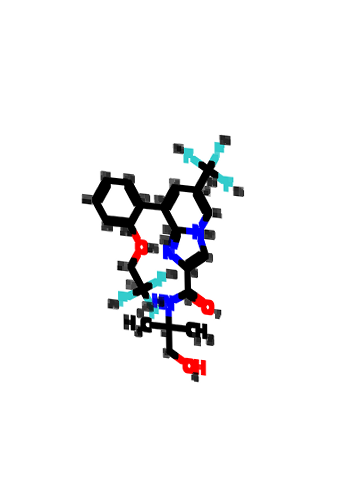 CC(C)(CO)NC(=O)c1cn2cc(C(F)(F)F)cc(-c3ccccc3OCC(F)(F)F)c2n1